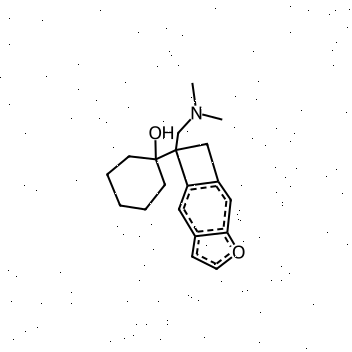 CN(C)CC1(C2(O)CCCCC2)Cc2cc3occc3cc21